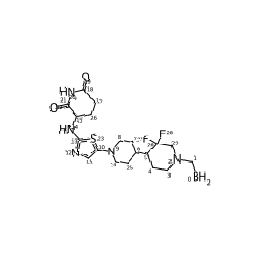 BCN1CCC(C2CCN(c3cnc(NC4CCC(=O)NC4=O)s3)CC2)C(F)(F)C1